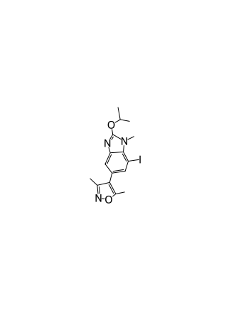 Cc1noc(C)c1-c1cc(I)c2c(c1)nc(OC(C)C)n2C